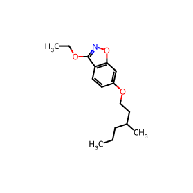 CCCC(C)CCOc1ccc2c(OCC)noc2c1